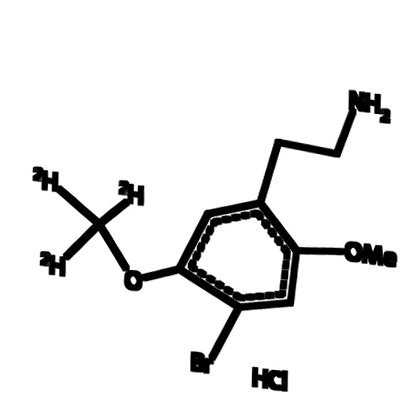 Cl.[2H]C([2H])([2H])Oc1cc(CCN)c(OC)cc1Br